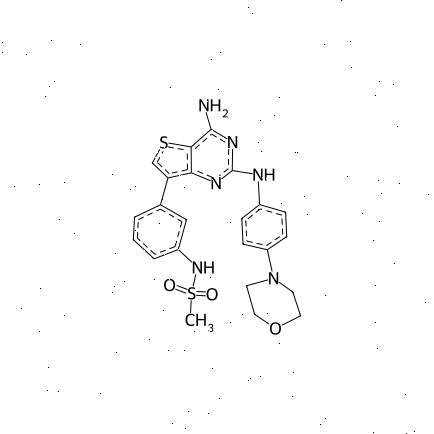 CS(=O)(=O)Nc1cccc(-c2csc3c(N)nc(Nc4ccc(N5CCOCC5)cc4)nc23)c1